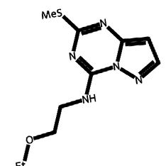 CCOCCNc1nc(SC)nc2ccnn12